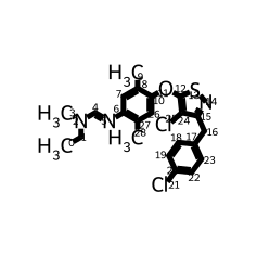 CCN(C)C=Nc1cc(C)c(Oc2snc(Cc3ccc(Cl)cc3)c2Cl)cc1C